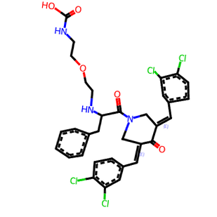 O=C(O)NCCOCCNC(Cc1ccccc1)C(=O)N1C/C(=C\c2ccc(Cl)c(Cl)c2)C(=O)/C(=C/c2ccc(Cl)c(Cl)c2)C1